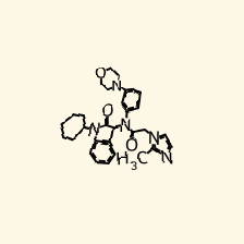 Cc1nccn1CC(=O)N(c1cccc(N2CCOCC2)c1)C1C(=O)N(C2CCCCC2)c2ccccc21